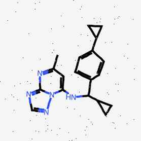 Cc1cc(NC(c2ccc(C3CC3)cc2)C2CC2)n2ncnc2n1